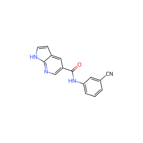 N#Cc1cccc(NC(=O)c2cnc3[nH]ccc3c2)c1